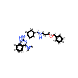 CN(C)c1nc(N[C@H]2CC[C@@H](CNCCCOCc3ccccc3)CC2)nc2ccccc12